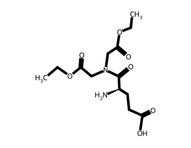 CCOC(=O)CN(CC(=O)OCC)C(=O)[C@H](N)CCC(=O)O